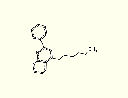 CCCCCCc1cc(-c2ccccc2)nc2ccccc12